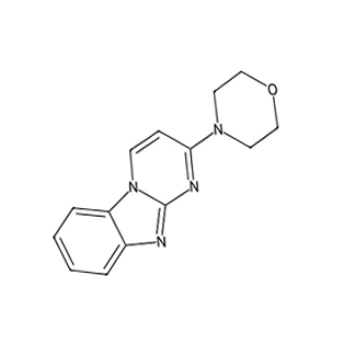 c1ccc2c(c1)nc1nc(N3CCOCC3)ccn12